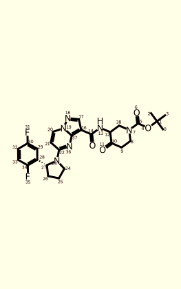 CC(C)(C)OC(=O)N1CCC(=O)C(NC(=O)c2cnn3ccc(N4CCC[C@@H]4c4cc(F)ccc4F)nc23)C1